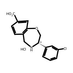 Cl.O=C(O)c1ccc2c(c1)OC[C@H](c1cccc(Cl)c1)NC2